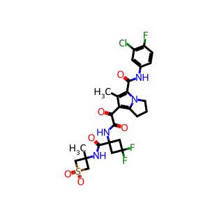 Cc1c(C(=O)C(=O)NC2(C(=O)NC3(C)CS(=O)(=O)C3)CC(F)(F)C2)c2n(c1C(=O)Nc1ccc(F)c(Cl)c1)CCC2